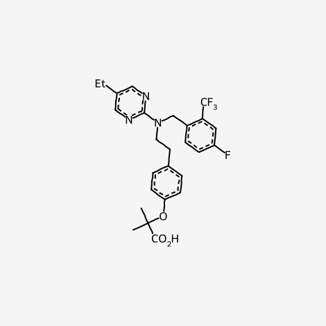 CCc1cnc(N(CCc2ccc(OC(C)(C)C(=O)O)cc2)Cc2ccc(F)cc2C(F)(F)F)nc1